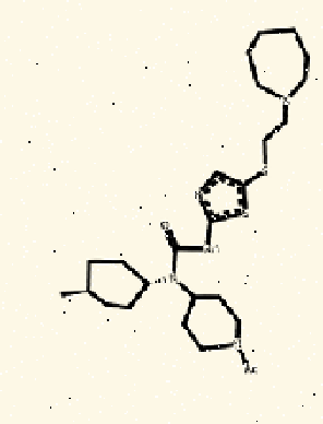 CC(=O)N1CCC(N(C(=O)Nc2ncc(SCCN3CCCCCC3)s2)[C@H]2CC[C@H](C)CC2)CC1